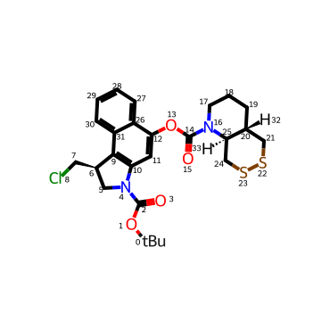 CC(C)(C)OC(=O)N1C[C@@H](CCl)c2c1cc(OC(=O)N1CCC[C@@H]3CSSC[C@H]31)c1ccccc21